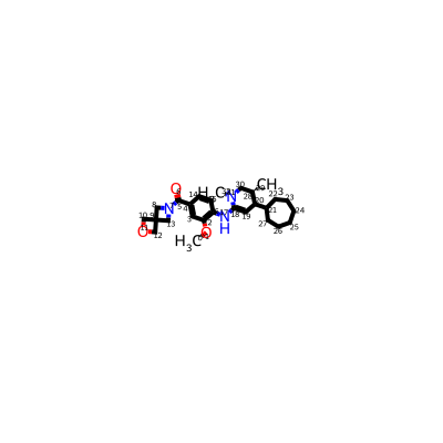 COc1cc(C(=O)N2CC3(COC3)C2)ccc1NC1=CC(C2CCCCCC2)[C@@H](C)CN1C